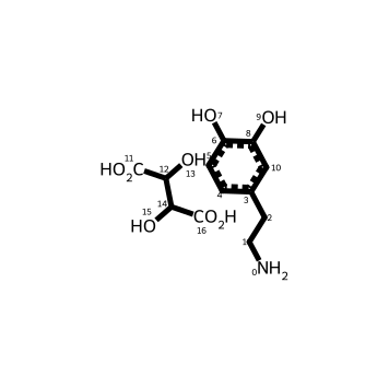 NCCc1ccc(O)c(O)c1.O=C(O)C(O)C(O)C(=O)O